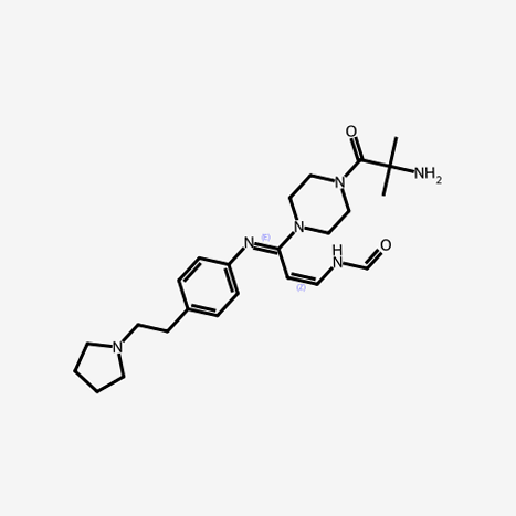 CC(C)(N)C(=O)N1CCN(C(/C=C\NC=O)=N/c2ccc(CCN3CCCC3)cc2)CC1